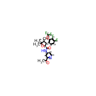 CC(=O)c1cc(NC(=O)[C@H]2OC(C)(C)[C@H](C)[C@@H]2c2ccc(F)c(F)c2OC(F)F)ccn1